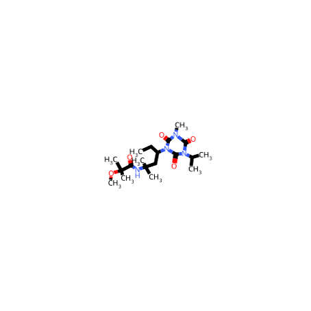 CCC(CC(C)(C)NC(=O)C(C)(C)OC)n1c(=O)n(C)c(=O)n(C(C)C)c1=O